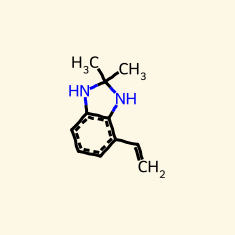 C=Cc1cccc2c1NC(C)(C)N2